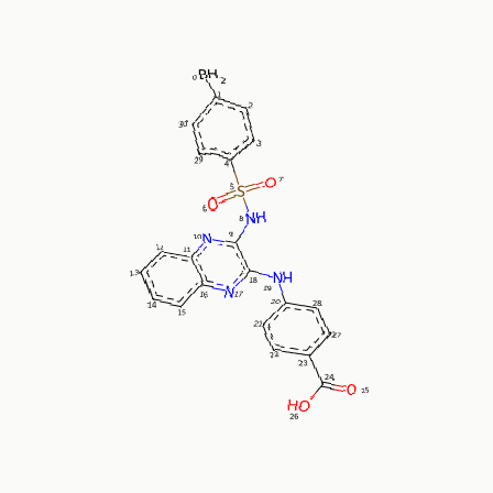 Bc1ccc(S(=O)(=O)Nc2nc3ccccc3nc2Nc2ccc(C(=O)O)cc2)cc1